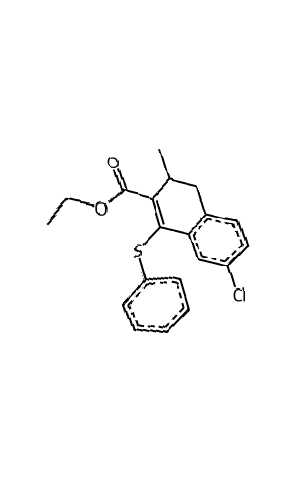 CCOC(=O)C1=C(Sc2ccccc2)c2cc(Cl)ccc2CC1C